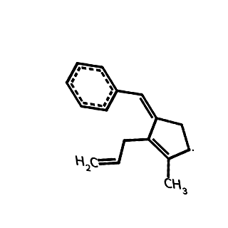 C=CCC1=C(C)[CH]CC1=Cc1ccccc1